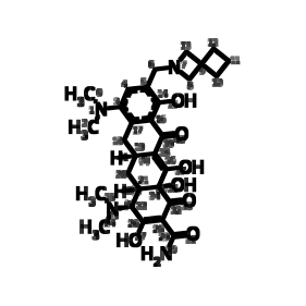 CN(C)c1cc(CN2CC3(CCC3)C2)c(O)c2c1C[C@H]1C[C@H]3[C@H](N(C)C)C(O)=C(C(N)=O)C(=O)[C@@]3(O)C(O)=C1C2=O